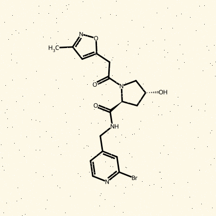 Cc1cc(CC(=O)N2C[C@H](O)C[C@H]2C(=O)NCc2ccnc(Br)c2)on1